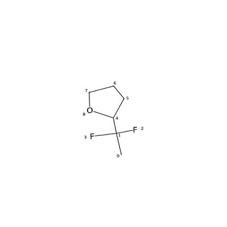 CC(F)(F)C1CCCO1